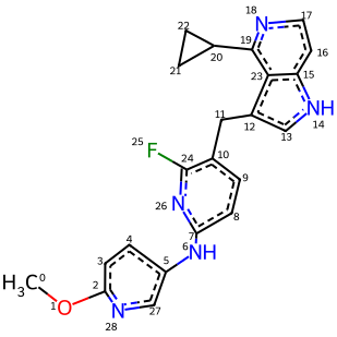 COc1ccc(Nc2ccc(Cc3c[nH]c4ccnc(C5CC5)c34)c(F)n2)cn1